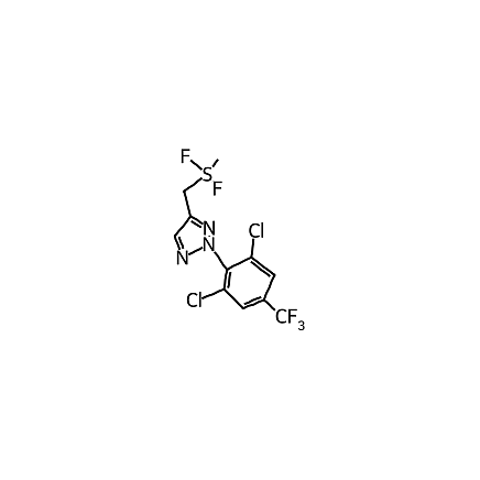 CS(F)(F)Cc1cnn(-c2c(Cl)cc(C(F)(F)F)cc2Cl)n1